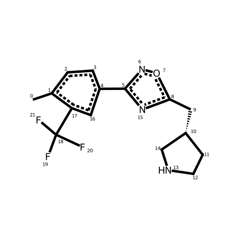 Cc1ccc(-c2noc(C[C@@H]3CCNC3)n2)cc1C(F)(F)F